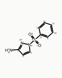 Nc1ccn(S(=O)(=O)c2ccccc2)n1